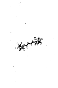 CC(C)C(F)(F)S(=O)(=O)OCCCCOS(=O)(=O)C(F)(F)C(C)C